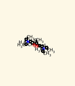 Cc1ccc(C)c(N(c2ccc3cc4c(cc3c2)oc2c4cc(C(C)C)c3c4cc5ccc(N(c6cc(C)ccc6C)c6cc(C)ccc6C)cc5cc4oc23)c2cc(C)ccc2C)c1